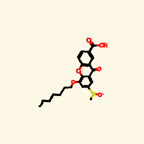 CCCCCCCOc1cc([S+](C)[O-])cc2c(=O)c3cc(C(=O)O)ccc3oc12